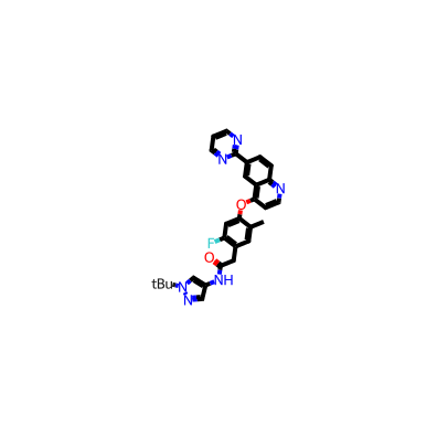 Cc1cc(CC(=O)Nc2cnn(C(C)(C)C)c2)c(F)cc1Oc1ccnc2ccc(-c3ncccn3)cc12